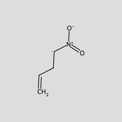 C=CC[CH][N+](=O)[O-]